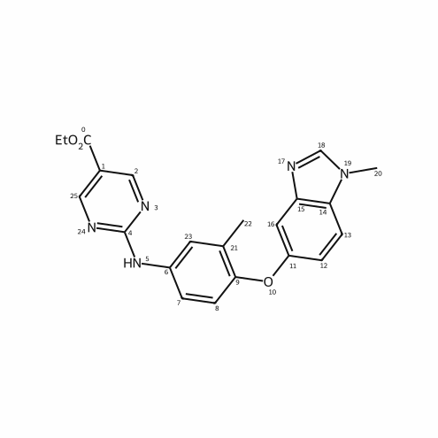 CCOC(=O)c1cnc(Nc2ccc(Oc3ccc4c(c3)ncn4C)c(C)c2)nc1